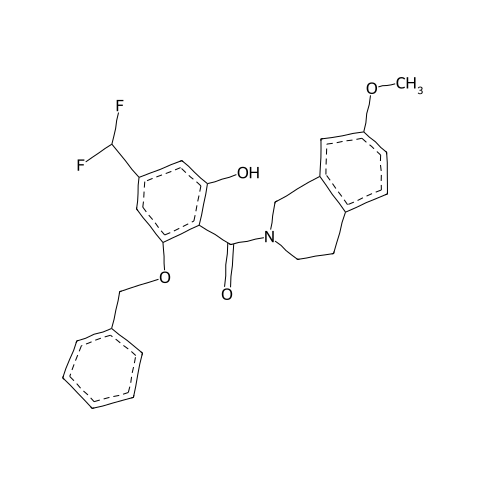 COc1ccc2c(c1)CN(C(=O)c1c(O)cc(C(F)F)cc1OCc1ccccc1)CC2